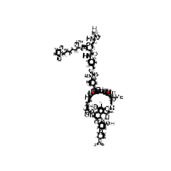 CO[C@H]1/C=C/O[C@@]2(C)Oc3c(C)c(O)c4c(=O)c(c5oc6cc(N7CCC(N(C)C)CC7)cc(O)c6nc-5c4c3C2=O)NC(=O)/C(C)=C\C=C\[C@H](C)[C@@H]2OC(c3ccc(NC(=O)OCc4ccc(NC(=O)[C@H](CCCNC(N)=O)CC(=O)[C@@H](NC(=O)CCCCCN5C(=O)C=CC5=O)C(C)C)cc4)cc3)O[C@@H]([C@@H](C)[C@H](OC(C)=O)[C@@H]1C)[C@@H]2C